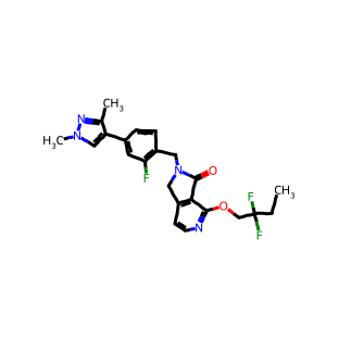 CCC(F)(F)COc1nccc2c1C(=O)N(Cc1ccc(-c3cn(C)nc3C)cc1F)C2